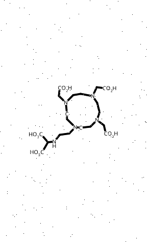 O=C(O)CN1CCN(CCNC(C(=O)O)C(=O)O)CCN(CC(=O)O)CCN(CC(=O)O)CC1